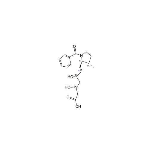 C[C@H]1CCN(C(=O)c2ccccc2)[C@@H]1/C=C/[C@@H](O)C[C@@H](O)CC(=O)O